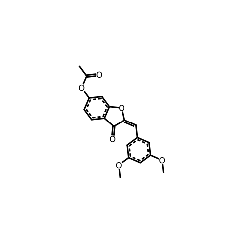 COc1cc(C=C2Oc3cc(OC(C)=O)ccc3C2=O)cc(OC)c1